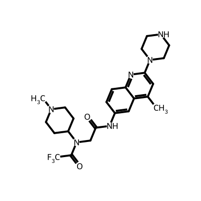 Cc1cc(N2CCNCC2)nc2ccc(NC(=O)CN(C(=O)C(F)(F)F)C3CCN(C)CC3)cc12